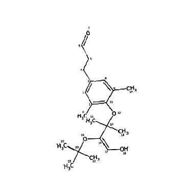 Cc1cc(CCC=O)cc(C)c1OC(C)(C)/C(=C\O)OC(C)(C)C